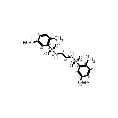 COc1ccc(C)c(S(=O)(=O)NCCNS(=O)(=O)c2cc(OC)ccc2C)c1